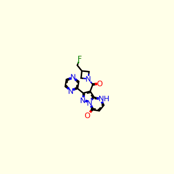 O=C(c1c(-c2cnccn2)nn2c(=O)cc[nH]c12)N1CC(CF)C1